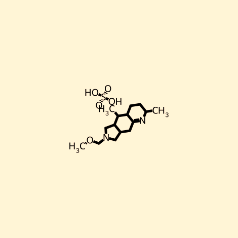 COCN1CC2CC3=NC(C)CCC3C(C)C2C1.O=S(=O)(O)O